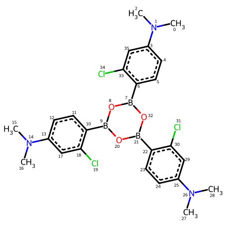 CN(C)c1ccc(B2OB(c3ccc(N(C)C)cc3Cl)OB(c3ccc(N(C)C)cc3Cl)O2)c(Cl)c1